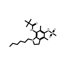 CCCCCCN1CCc2c(C)c(NS(C)(=O)=O)c(C)c(NC(=O)C(C)(C)C)c21